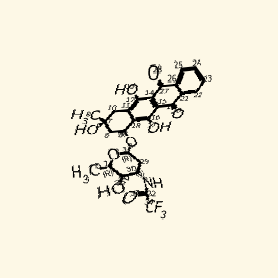 C[C@H]1O[C@@H](O[C@H]2CC(C)(O)Cc3c(O)c4c(c(O)c32)C(=O)c2ccccc2C4=O)C[C@H](NC(=O)C(F)(F)F)[C@H]1O